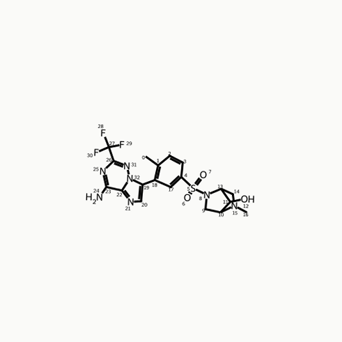 Cc1ccc(S(=O)(=O)N2CC3C(O)C2CN3C)cc1-c1cnc2c(N)nc(C(F)(F)F)nn12